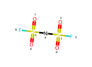 O=[S](=O)(F)[Ni][S](=O)(=O)F